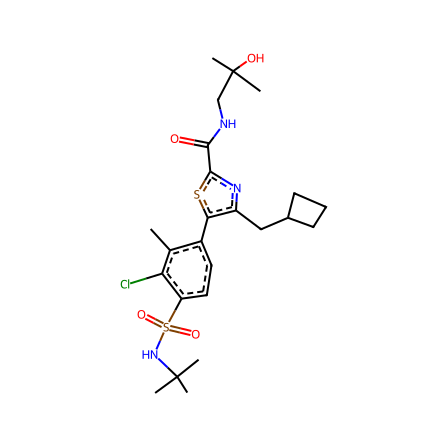 Cc1c(-c2sc(C(=O)NCC(C)(C)O)nc2CC2CCC2)ccc(S(=O)(=O)NC(C)(C)C)c1Cl